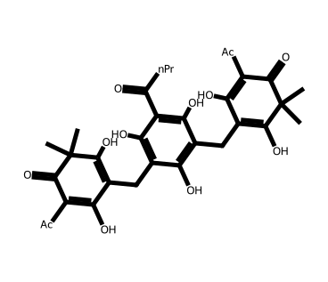 CCCC(=O)c1c(O)c(CC2=C(O)C(C)(C)C(=O)C(C(C)=O)=C2O)c(O)c(CC2=C(O)C(C)(C)C(=O)C(C(C)=O)=C2O)c1O